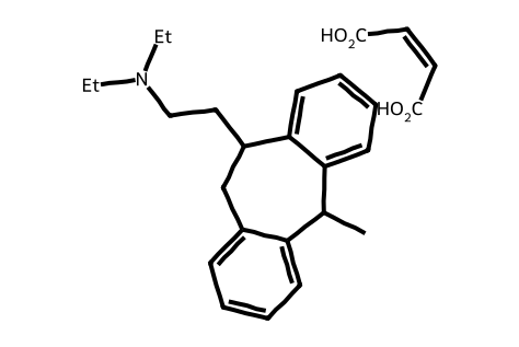 CCN(CC)CCC1Cc2ccccc2C(C)c2ccccc21.O=C(O)/C=C\C(=O)O